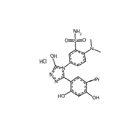 CC(C)c1cc(-c2nnc(O)n2-c2ccc(N(C)C)c(S(N)(=O)=O)c2)c(O)cc1O.Cl